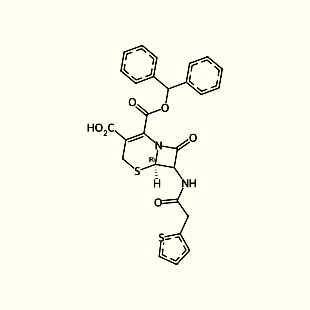 O=C(Cc1cccs1)NC1C(=O)N2C(C(=O)OC(c3ccccc3)c3ccccc3)=C(C(=O)O)CS[C@H]12